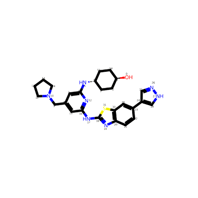 O[C@H]1CC[C@H](Nc2cc(CN3CCCC3)cc(Nc3nc4ccc(-c5cn[nH]c5)cc4s3)n2)CC1